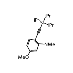 CNc1cc(OC)ccc1C#C[Si](C(C)C)(C(C)C)C(C)C